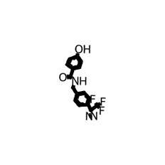 O=C(NCc1ccc(C2(C(F)(F)F)N=N2)cc1)c1ccc(O)cc1